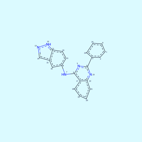 c1ccc(-c2nc(Nc3ccc4[nH]ncc4c3)c3ccccc3n2)cc1